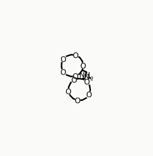 CN(CC1COCCOCCOCCOCCO1)C1(N)COCCOCCOCCOCCO1